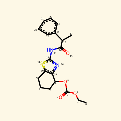 CCOC(=O)OC1CCCc2sc(NC(=O)C(C)c3ccccc3)nc21